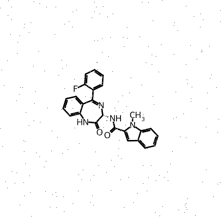 Cn1c(C(=O)N[C@H]2N=C(c3ccccc3F)c3ccccc3NC2=O)cc2ccccc21